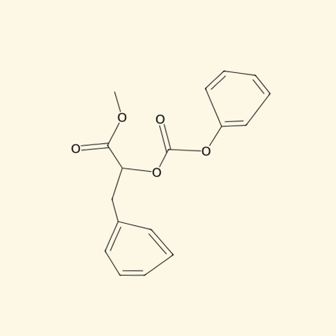 COC(=O)C(Cc1ccccc1)OC(=O)Oc1ccccc1